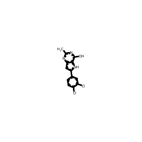 Cc1nc(O)c2[nH]c(-c3ccc(Cl)c(Cl)c3)cc2n1